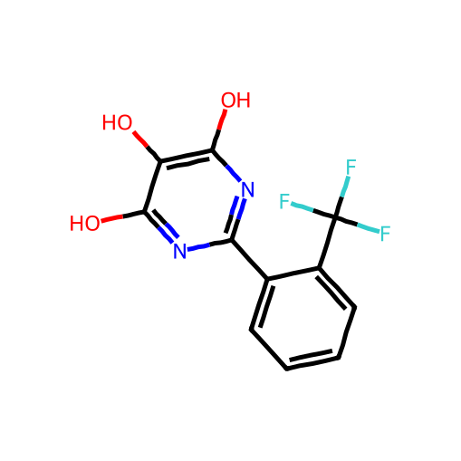 Oc1nc(-c2ccccc2C(F)(F)F)nc(O)c1O